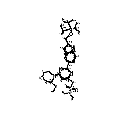 CC[C@H]1COCCN1c1cc(CS(=O)(=O)N(C)C)nc(-c2ccc3[nH]c(CO[Si](C(C)C)(C(C)C)C(C)C)cc3n2)n1